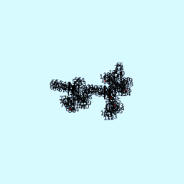 CC1(C)c2ccccc2-c2cc3c4ccccc4n(-c4cc(-c5nc(-c6ccc(-c7ccc8c(c7)-c7cc9c%10ccccc%10n(-c%10cc(-c%11nc(-c%12ccccc%12)nc(-c%12ccc(-c%13ccccc%13)cc%12)n%11)cc(-n%11c%12ccccc%12c%12ccccc%12%11)c%10)c9cc7C8(C)C)cc6)nc(-c6ccc(-c7cccc8c7oc7ccccc78)cc6)n5)cc(-n5c6ccccc6c6ccccc65)c4)c3cc21